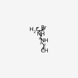 C#CCCNCCNC(=C)CBr